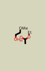 CCOC(C)O.COCCO